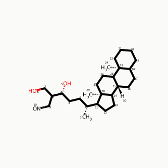 C[C@H](CC[C@@H](O)C(CO)CN=O)C1CCC2[C@H]3CCC4CCCC[C@]4(C)C3CC[C@@]21C